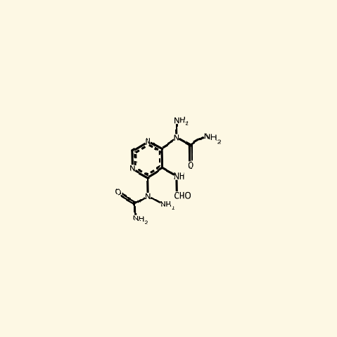 NC(=O)N(N)c1ncnc(N(N)C(N)=O)c1NC=O